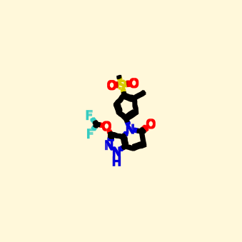 Cc1cc(-n2c(=O)ccc3[nH]nc(OC(F)F)c32)ccc1S(C)(=O)=O